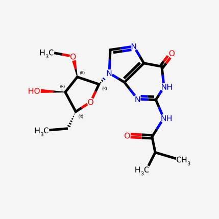 CC[C@H]1O[C@@H](n2cnc3c(=O)[nH]c(NC(=O)C(C)C)nc32)[C@H](OC)[C@@H]1O